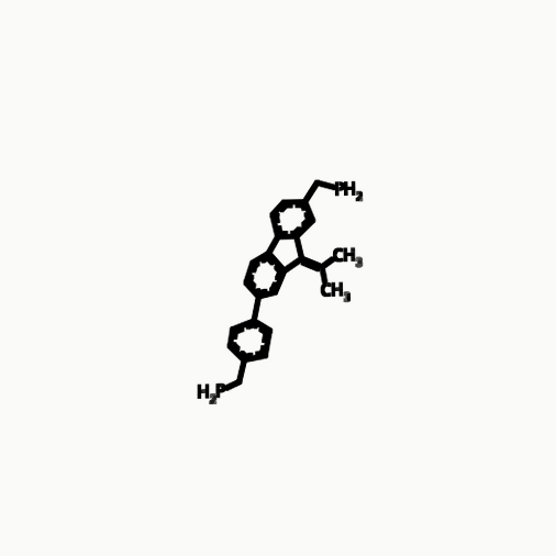 CC(C)=C1c2cc(CP)ccc2-c2ccc(-c3ccc(CP)cc3)cc21